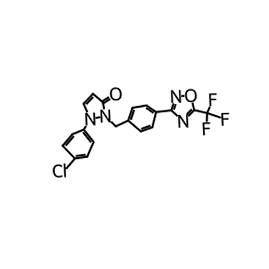 O=c1ccn(-c2ccc(Cl)cc2)n1Cc1ccc(-c2noc(C(F)(F)F)n2)cc1